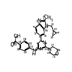 Cc1nc2ccc(-c3cc(Nc4ccc(C(=O)O)cc4)nc(N4CCOCC4)n3)cc2n1CC1CC1